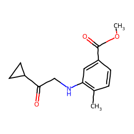 COC(=O)c1ccc(C)c(NCC(=O)C2CC2)c1